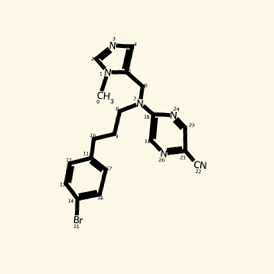 Cn1cncc1CN(CCCc1ccc(Br)cc1)c1cnc(C#N)cn1